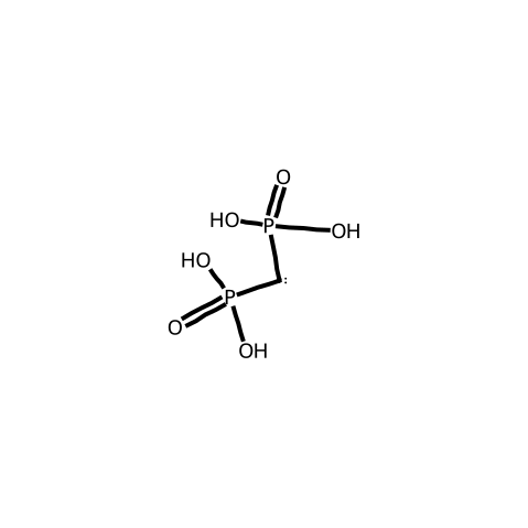 O=P(O)(O)[C]P(=O)(O)O